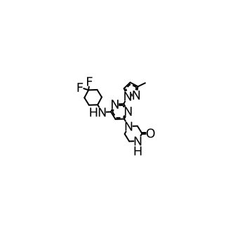 Cc1ccn(-c2nc(NC3CCC(F)(F)CC3)cc(N3CCNC(=O)C3)n2)n1